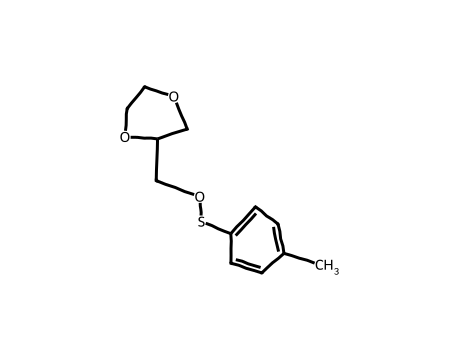 Cc1ccc(SOCC2COCCO2)cc1